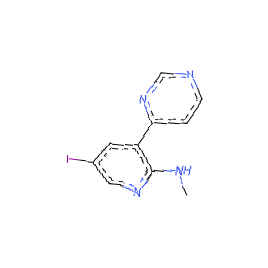 CNc1ncc(I)cc1-c1ccncn1